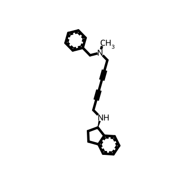 CN(CC#CC#CCN[C@@H]1CCc2ccccc21)Cc1ccccc1